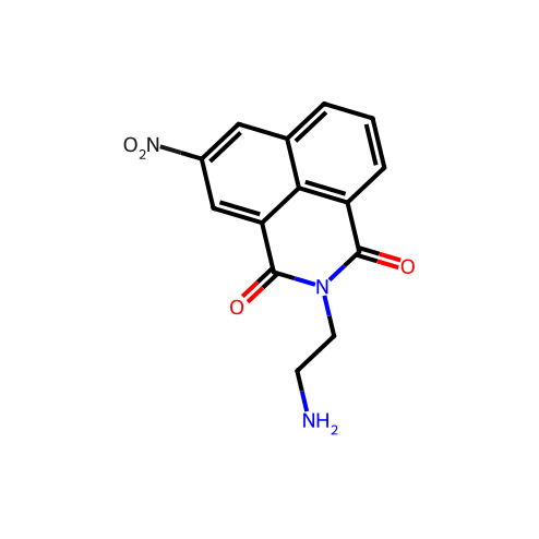 NCCN1C(=O)c2cccc3cc([N+](=O)[O-])cc(c23)C1=O